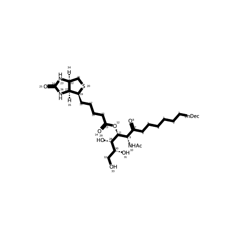 CCCCCCCCCCCCCCCCC(=O)[C@H](NC(C)=O)[C@@H](OC(=O)CCCC[C@@H]1SC[C@@H]2NC(=O)N[C@@H]21)[C@@H](O)[C@H](O)CO